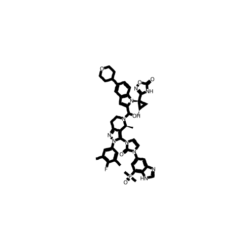 Cc1cc(-n2nc3c(c2-n2ccn(-c4cc(P(C)(C)=O)c5[nH]cnc5c4)c2=O)[C@H](C)N(C(O)c2cc4cc(C5CCOCC5)ccc4n2[C@@]2(c4noc(=O)[nH]4)C[C@@H]2C)CC3)cc(C)c1F